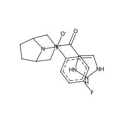 O=C(C1=CNNN1)N1CC2CCC(C1)N2[S+]([O-])c1ccc(F)cc1